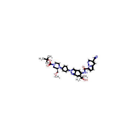 COC[C@H]1CN(C(=O)OC(C)(C)C)CCN1C1CCC(n2cc3cc(NC(=O)c4ccc5cc(C#N)cnn45)c(C(C)(C)O)cc3n2)CC1